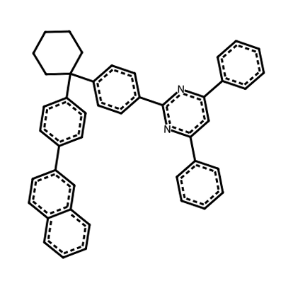 c1ccc(-c2cc(-c3ccccc3)nc(-c3ccc(C4(c5ccc(-c6ccc7ccccc7c6)cc5)CCCCC4)cc3)n2)cc1